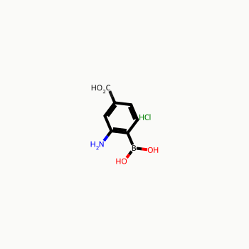 Cl.Nc1cc(C(=O)O)ccc1B(O)O